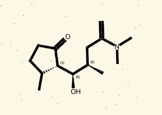 C=C(C[C@@H](C)[C@@H](O)[C@H]1C(=O)CCC1C)N(C)C